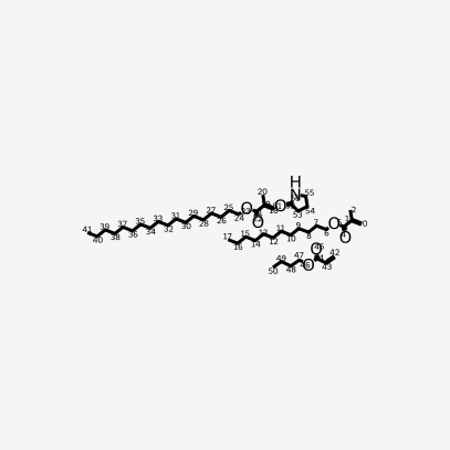 C=C(C)C(=O)OCCCCCCCCCCCC.C=C(C)C(=O)OCCCCCCCCCCCCCCCCCC.C=CC(=O)OCCCC.O=C1CCCN1